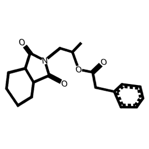 CC(CN1C(=O)C2CCCCC2C1=O)OC(=O)Cc1ccccc1